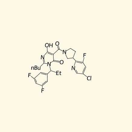 CCCCc1nc(O)c(C(=O)N2CCC(c3ncc(Cl)cc3F)C2)c(=O)n1C(CC)c1cc(F)cc(F)c1